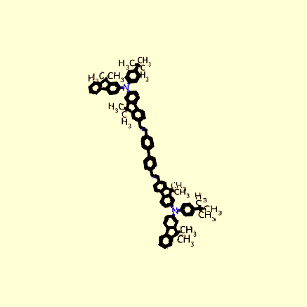 CC(C)(C)c1ccc(N(C2=CC3C(C=C2)c2ccccc2C3(C)C)c2ccc3c(c2)C(C)(C)c2cc(/C=C/c4ccc(-c5ccc(/C=C/c6ccc7c(c6)C(C)(C)c6cc(N(c8ccc(C(C)(C)C)cc8)c8ccc9c(c8)C(C)(C)c8ccccc8-9)ccc6-7)cc5)cc4)ccc2-3)cc1